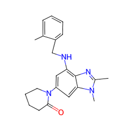 Cc1ccccc1CNc1cc(N2CCCCC2=O)cc2c1nc(C)n2C